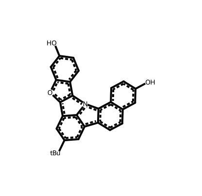 CC(C)(C)c1cc2c3ccc4cc(O)ccc4c3n3c2c(c1)c1oc2cc(O)ccc2c13